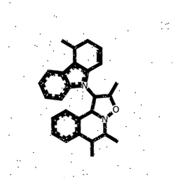 CC1CC=Cc2c1c1ccccc1n2C1C(C)ON2C(C)C(C)c3ccccc3C12